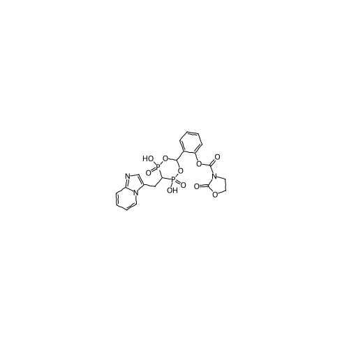 O=C1OCCN1C(=O)Oc1ccccc1C1OP(=O)(O)C(Cc2cnc3ccccn23)P(=O)(O)O1